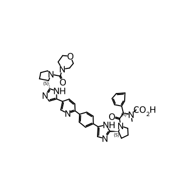 CN(C(=O)O)[C@@H](C(=O)N1CCC[C@H]1c1ncc(-c2ccc(-c3ccc(-c4cnc([C@@H]5CCCN5C(=O)N5CCOCC5)[nH]4)cn3)cc2)[nH]1)c1ccccc1